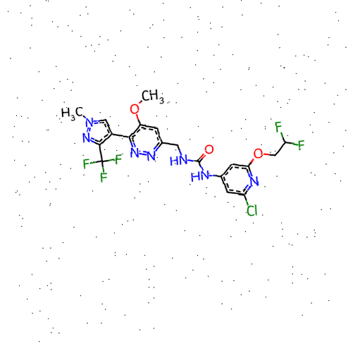 COc1cc(CNC(=O)Nc2cc(Cl)nc(OCC(F)F)c2)nnc1-c1cn(C)nc1C(F)(F)F